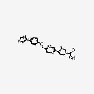 CC1CN(C(=O)O)CC=C1c1cnc(COc2ccc(-n3cncn3)cc2)cn1